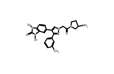 CCn1c(=O)n(CC)c2cc(-c3cn(CC(=O)N4CCC(N)C4)nc3-c3cccc(C)c3)ccc21